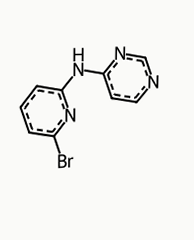 Brc1cccc(Nc2ccncn2)n1